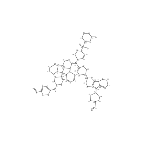 C=CC1=CC=C(OC2CC=C(C3(C4C=CC=CC4)C4=C(CCC(N(C5=CCC(C6CCC7=C(C6)C6CCCC=C6N7C6CCC(C=C)CC6)CC5)C5C=CC(C(C)(C)C6=CC(C)CCC6)CC5)C4)C4CCCCC43)CC2)CC1